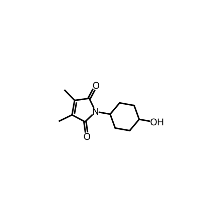 CC1=C(C)C(=O)N(C2CCC(O)CC2)C1=O